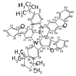 CC(C)(C)c1ccc(N2B3c4cc5oc6ccccc6c5cc4-n4c5cc6c(cc5c5c7oc8ccccc8c7c(c3c54)-c3cc4oc5ccccc5c4cc32)C(C)(C)CCC6(C)C)cc1